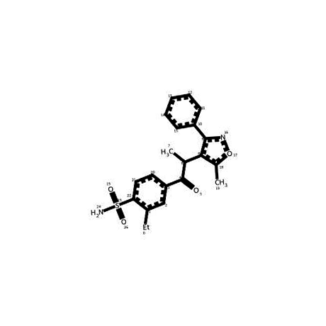 CCc1cc(C(=O)C(C)c2c(-c3ccccc3)noc2C)ccc1S(N)(=O)=O